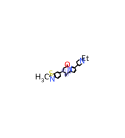 CCN1CC=C(C2=CN3C(=O)\C=C(c4ccc5nc(C)sc5c4)/C=C/C=C/3C=C2)CC1